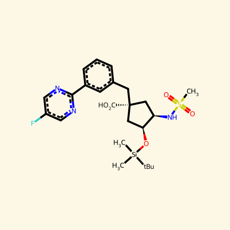 CC(C)(C)[Si](C)(C)O[C@H]1C[C@](Cc2cccc(-c3ncc(F)cn3)c2)(C(=O)O)C[C@H]1NS(C)(=O)=O